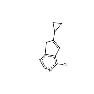 Clc1ncnc2c1C=C(C1CC1)C2